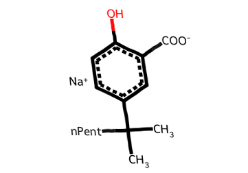 CCCCCC(C)(C)c1ccc(O)c(C(=O)[O-])c1.[Na+]